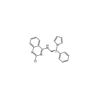 Clc1nc(NC[C@H](c2ccccc2)n2cccc2)c2ccccc2n1